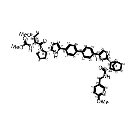 COC(=O)N[C@H](C(=O)N1CCC[C@H]1c1ncc(-c2ccc(-c3ccc(-c4cnc([C@H]5C6CCC(C6)[C@@H]5C(=O)NCc5ccc(OC)nc5)[nH]4)cc3)cc2)[nH]1)[C@@H](C)OC